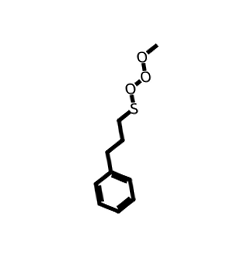 COOOSCCCc1ccccc1